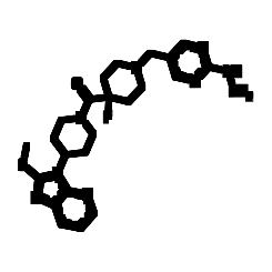 CSc1nc2cccnc2n1C1CCN(C(=O)C2(F)CCN(Cc3cnc(NN)nc3)CC2)CC1